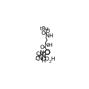 CC(C)(C)OC(=O)NCCCNC(=O)c1cccc2[nH]c([C@]3(C)CCCN3C(=O)O)nc12